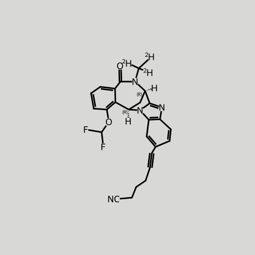 [2H]C([2H])([2H])N1C(=O)c2cccc(OC(F)F)c2[C@H]2C[C@@H]1c1nc3ccc(C#CCCCC#N)cc3n12